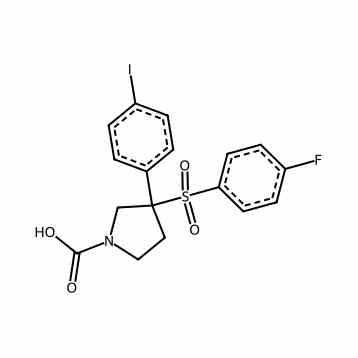 O=C(O)N1CCC(c2ccc(I)cc2)(S(=O)(=O)c2ccc(F)cc2)C1